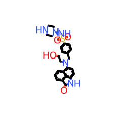 O=C1Nc2ccc(N(CCO)Cc3ccc(S(=O)(=O)NN4CCNCC4)cc3)c3cccc1c23